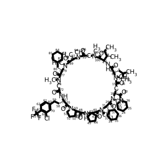 CC[C@H](C)[C@@H]1NC(=O)[C@H](CC(C)C)N(C)C(=O)C[C@@H](C(=O)N2CCCCC2)N(C)C(=O)[C@H](C2CCCCC2)N(C)C(=O)C2(CCCC2)NC(=O)[C@@H]2CCCN2C(=O)[C@H](CCc2ccc(C(F)(F)F)c(Cl)c2)NC(=O)CN(C)C(=O)[C@H](CC2CCCCC2)N(C)C(=O)[C@H](C)N(C)C(=O)CN(C)C1=O